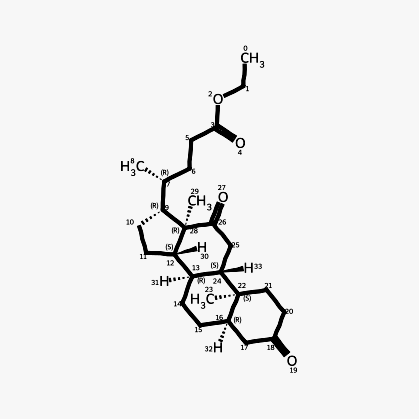 CCOC(=O)CC[C@@H](C)[C@H]1CC[C@H]2[C@@H]3CC[C@@H]4CC(=O)CC[C@]4(C)[C@H]3CC(=O)[C@]12C